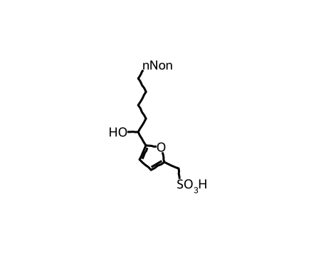 CCCCCCCCCCCCCC(O)c1ccc(CS(=O)(=O)O)o1